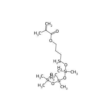 C=C(C)C(=O)OCCC[SiH2]O[Si](C)(C)O[Si](C)(C)O[Si](C)(C)C